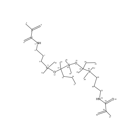 C=C(C)C(=C)NCCC[Si](C)(C)OC(C)(CCC)[Si](C)(C)OC(C)(CC)[Si](C)(C)CCCNC(=O)C(=C)C